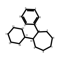 c1ccc([C]2CCCCCC2C2CCCCC2)cc1